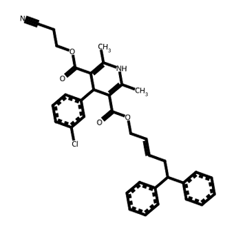 CC1=C(C(=O)OCC=CCC(c2ccccc2)c2ccccc2)C(c2cccc(Cl)c2)C(C(=O)OCCC#N)=C(C)N1